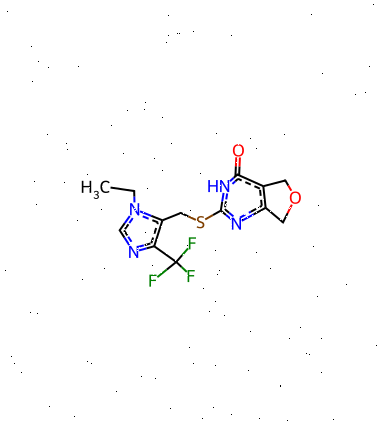 CCn1cnc(C(F)(F)F)c1CSc1nc2c(c(=O)[nH]1)COC2